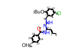 C/C=C/C(=N\NCc1cc(Cl)ccc1OCC(C)C)NC(=O)c1ccc(C=O)cc1